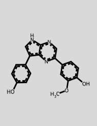 COc1cc(-c2cnc3[nH]cc(-c4ccc(O)cc4)c3n2)ccc1O